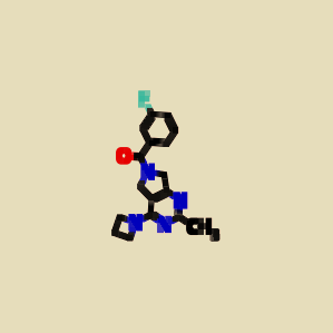 Cc1nc2c(c(N3CCC3)n1)CN(C(=O)c1cccc(F)c1)C2